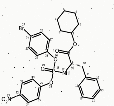 O=C(OC1CCCCC1)[C@H](Cc1ccccc1)NP(=O)(Oc1ccc(Br)cc1)Oc1ccc([N+](=O)[O-])cc1